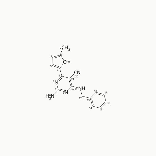 Cc1ccc(-c2nc(N)nc(NCc3ccccc3)c2C#N)o1